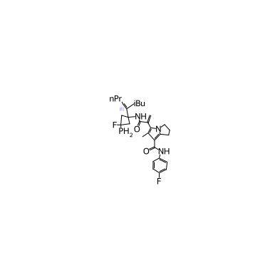 C=C(C(=O)NC1(/C(=C/CCC)C(C)CC)CC(F)(P)C1)c1c(C)c(C(=O)Nc2ccc(F)cc2)c2n1CCC2